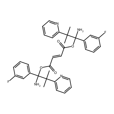 CC(C)(c1ccccn1)C(N)(OC(=O)/C=C/C(=O)OC(N)(c1cccc(F)c1)C(C)(C)c1ccccn1)c1cccc(F)c1